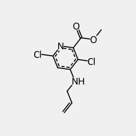 C=CCNc1cc(Cl)nc(C(=O)OC)c1Cl